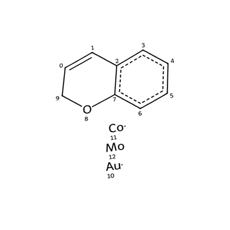 C1=Cc2ccccc2OC1.[Au].[Co].[Mo]